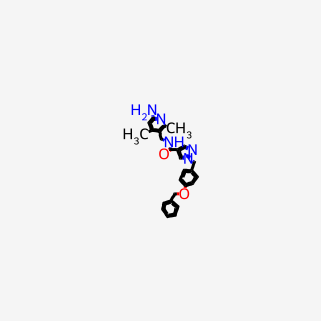 Cc1cc(N)nc(C)c1CNC(=O)c1cnn(Cc2ccc(OCc3ccccc3)cc2)c1